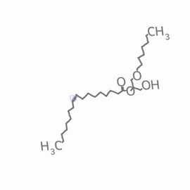 CCCCCCCC/C=C\CCCCCCCC(=O)OC(CO)COCCCCCCCC